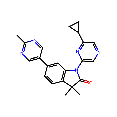 Cc1ncc(-c2ccc3c(c2)N(c2cncc(C4CC4)n2)C(=O)C3(C)C)cn1